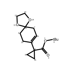 CC(C)(C)OC(=O)C1(C2=CCC3(CC2)OCCO3)CC1